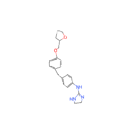 c1cc(NC2=NCCN2)ccc1Cc1ccc(OCC2CCCO2)cc1